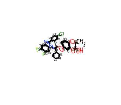 CC(Oc1ccc(OCC(C2CCCCC2)n2c(-c3ccc(Cl)cc3)nc3cc(F)c(F)cc32)cc1)C(=O)O